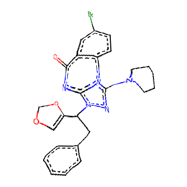 O=c1nc2n(C(Cc3ccccc3)C3=COCO3)nc(N3CCCC3)n2c2ccc(Br)cc12